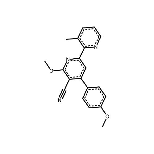 COc1ccc(-c2cc(-c3ncccc3C)nc(OC)c2C#N)cc1